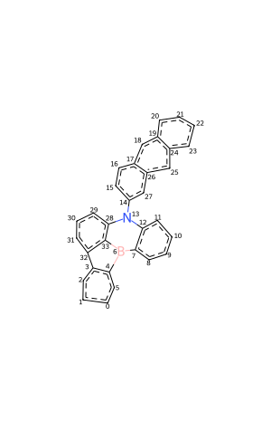 c1ccc2c(c1)B1c3ccccc3N(c3ccc4cc5ccccc5cc4c3)c3cccc-2c31